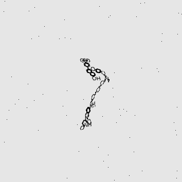 CCN(CCOCCOCCOCCNc1ccc2c(c1)CN(C1CCC(=O)NC1=O)C2)CCOc1ccc(Oc2c(-c3ccc(S(C)(=O)=O)cc3)ccc3cc(O)ccc23)cc1